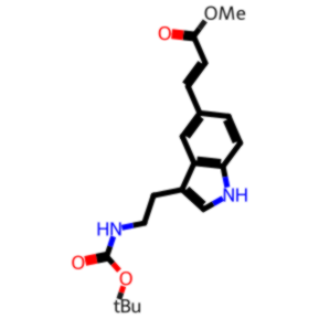 COC(=O)C=Cc1ccc2[nH]cc(CCNC(=O)OC(C)(C)C)c2c1